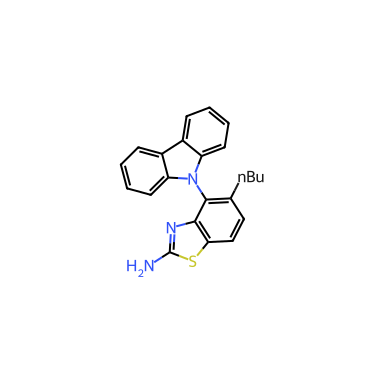 CCCCc1ccc2sc(N)nc2c1-n1c2ccccc2c2ccccc21